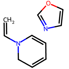 C=CN1C=CC=CC1.c1cocn1